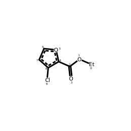 CCOC(=O)c1occc1Cl